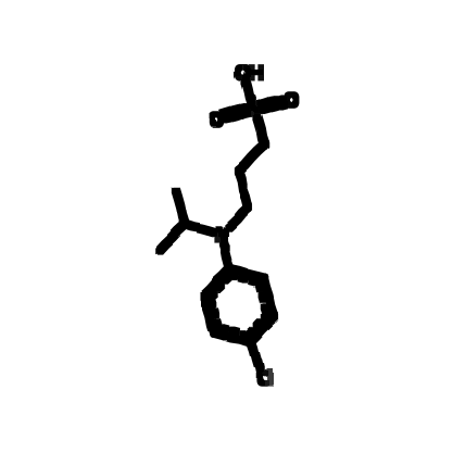 CC(C)N(CCCS(=O)(=O)O)c1ccc(Cl)cc1